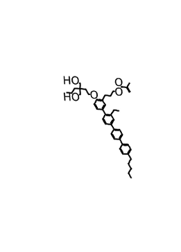 C=C(C)C(=O)OCCCc1cc(-c2ccc(-c3ccc(-c4ccc(CCCCC)cc4)cc3)cc2CC)ccc1OCCC(CO)(CO)CCC